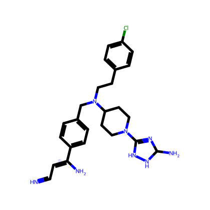 N=C/C=C(\N)c1ccc(CN(CCc2ccc(Cl)cc2)C2CCN(C3=NC(N)NN3)CC2)cc1